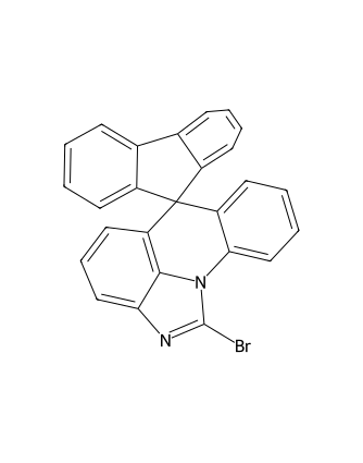 Brc1nc2cccc3c2n1-c1ccccc1C31c2ccccc2-c2ccccc21